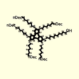 CCCCCCCCCCCCCCCCSc1cc2c(cc1SCCCCCCCCCCO)c1cc(SCCCCCCCCCCCCCCCC)c(SCCCCCCCCCCCCCCCC)cc1c1cc(SCCCCCCCCCCCCCCCC)c(SCCCCCCCCCCCCCCCC)cc21